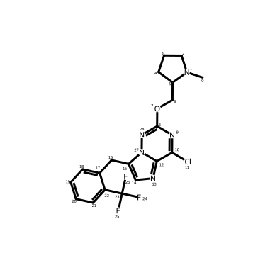 CN1CCCC1COc1nc(Cl)c2ncc(Cc3ccccc3C(F)(F)F)n2n1